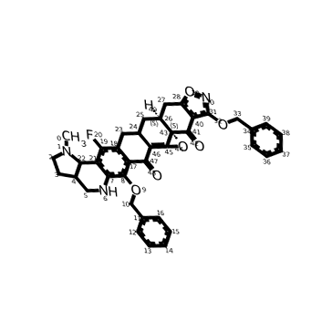 CN1CCC2CNc3c(OCc4ccccc4)c4c(c(F)c3C21)CC1C[C@H]2Cc3onc(OCc5ccccc5)c3C(=O)[C@]23OC3=C1C4=O